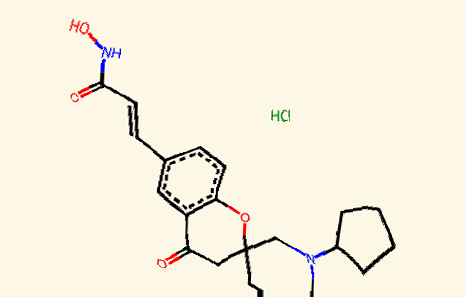 Cl.O=C(C=Cc1ccc2c(c1)C(=O)CC1(CCCN(C3CCCC3)C1)O2)NO